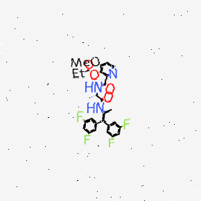 CCC(=O)Oc1c(OC)ccnc1C(=O)N[C@@H](C)C(=O)NC(C)=C(c1cc(F)cc(F)c1)c1cc(F)cc(F)c1